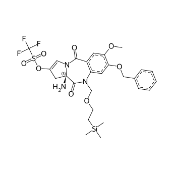 COc1cc2c(cc1OCc1ccccc1)N(COCC[Si](C)(C)C)C(=O)[C@]1(N)CC(OS(=O)(=O)C(F)(F)F)=CN1C2=O